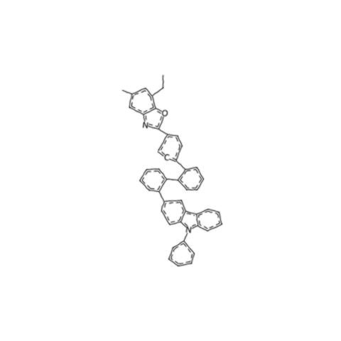 CCc1cc(C)cc2nc(-c3ccc(-c4ccccc4-c4ccccc4-c4ccc5c(c4)c4ccccc4n5-c4ccccc4)cc3)oc12